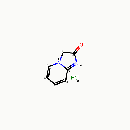 Cl.O=C1CN2C=CC=CC2=N1